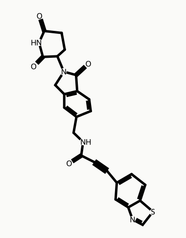 O=C(C#Cc1ccc2scnc2c1)NCc1ccc2c(c1)CN(C1CCC(=O)NC1=O)C2=O